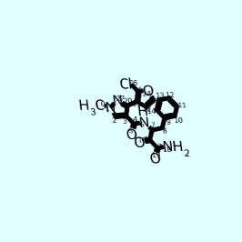 Cn1cc(C(=O)NC(Cc2ccccc2)C(=O)C(N)=O)c(-c2ccoc2Cl)n1